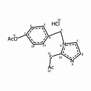 CC(=O)Oc1ccc(Cn2ccnc2SC(C)=O)cc1.Cl